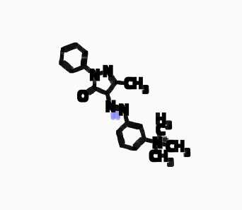 CC1=NN(c2ccccc2)C(=O)C1/N=N/c1cccc([N+](C)(C)C)c1